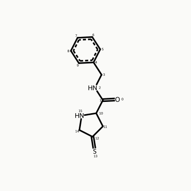 O=C(NCc1ccccc1)C1CC(=S)CN1